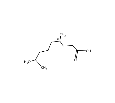 CC(C)CCC[C@@H](C)CCC(=O)O